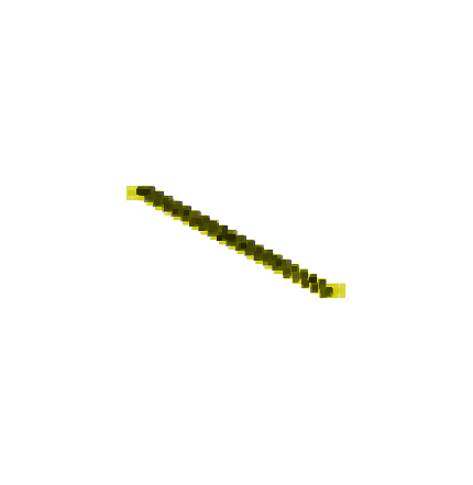 SSSSSSSSSSSSSSSSSSSSSSSSSSSSSSSSSSSSSSSSSS